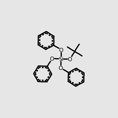 CC(C)(C)O[Si](Oc1ccccc1)(Oc1ccccc1)Oc1ccccc1